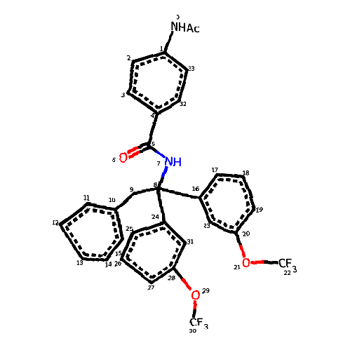 CC(=O)Nc1ccc(C(=O)NC(Cc2ccccc2)(c2cccc(OC(F)(F)F)c2)c2cccc(OC(F)(F)F)c2)cc1